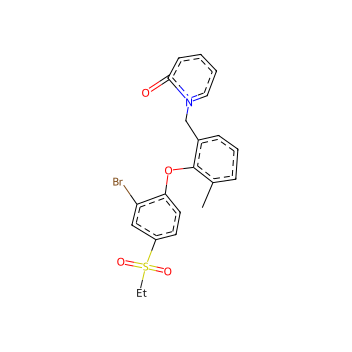 CCS(=O)(=O)c1ccc(Oc2c(C)cccc2Cn2ccccc2=O)c(Br)c1